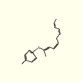 C/C=C\C=C/C/C=C\C=C(/C)Sc1ccc(C)cc1